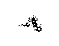 CC1(C)[C@@H]2CC[C@@]1(C(=O)N1CCC(CCO)C1)c1nnc(-c3c(F)cccc3F)cc12